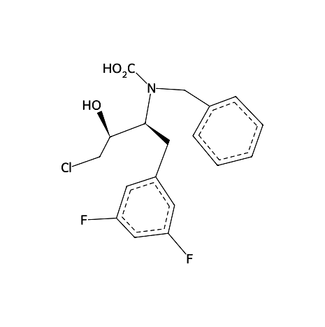 O=C(O)N(Cc1ccccc1)[C@@H](Cc1cc(F)cc(F)c1)[C@H](O)CCl